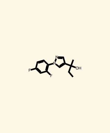 CCC(C)(O)c1cnn(-c2ccc(F)cc2F)c1